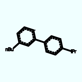 CCCCc1cc[c]c(-c2ccc(C(C)C)cc2)c1